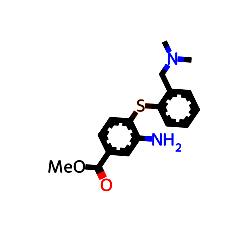 COC(=O)c1ccc(Sc2ccccc2CN(C)C)c(N)c1